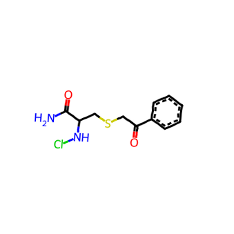 NC(=O)C(CSCC(=O)c1ccccc1)NCl